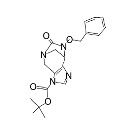 CC(C)(C)OC(=O)n1cnc2c1CN1CC2N(OCc2ccccc2)C1=O